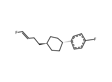 FC=CCC[C@H]1CC[C@H](c2ccc(F)cc2)CC1